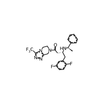 C[C@@H](N[C@@H](CC(=O)N1CCn2c(nnc2C(F)(F)F)C1)Cc1cc(F)ccc1F)c1ccccc1